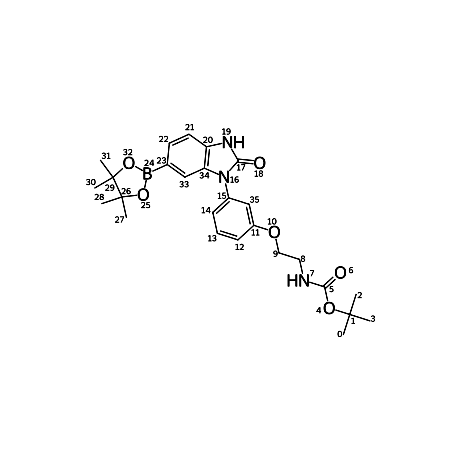 CC(C)(C)OC(=O)NCCOc1cccc(-n2c(=O)[nH]c3ccc(B4OC(C)(C)C(C)(C)O4)cc32)c1